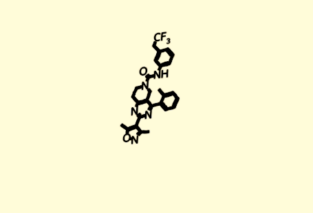 Cc1ccccc1-c1nc(-c2c(C)noc2C)nc2c1CN(C(=O)Nc1cccc(CC(F)(F)F)c1)CC2